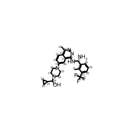 Cc1c([C@@H](N)Nc2nnc(C)c3ccc(N4CCN(C(O)C5CC5)CC4)cc23)cccc1C(F)(F)F